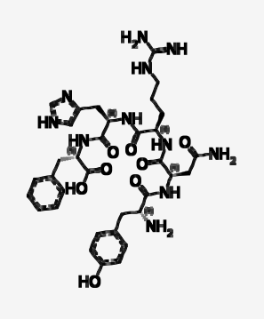 N=C(N)NCCC[C@@H](NC(=O)[C@@H](CC(N)=O)NC(=O)[C@H](N)Cc1ccc(O)cc1)C(=O)N[C@H](Cc1c[nH]cn1)C(=O)N[C@@H](Cc1ccccc1)C(=O)O